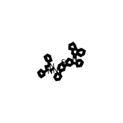 c1ccc(-c2cc(-c3ccccc3)nc(-n3c4ccccc4c4cc5c(cc43)sc3cc4c(cc35)c3ccccc3n4-c3cc4ccccc4c4ccccc34)n2)cc1